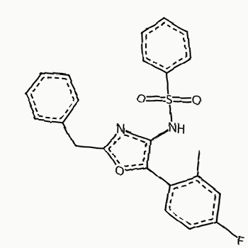 Cc1cc(F)ccc1-c1oc(Cc2ccccc2)nc1NS(=O)(=O)c1ccccc1